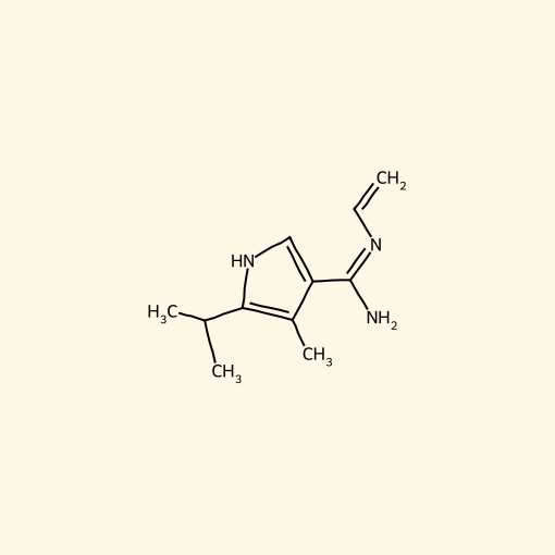 C=C/N=C(/N)c1c[nH]c(C(C)C)c1C